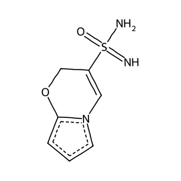 N=S(N)(=O)C1=Cn2cccc2OC1